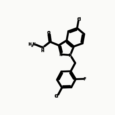 NNC(=O)c1nn(Cc2ccc(Cl)cc2F)c2ccc(Cl)cc12